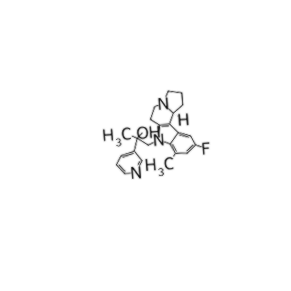 Cc1cc(F)cc2c3c(n(CC(C)(O)c4cccnc4)c12)CCN1CCC[C@@H]31